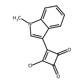 Cn1cc(-c2c(Cl)c(=O)c2=O)c2ccccc21